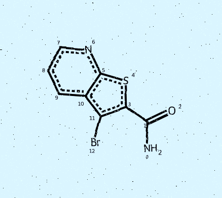 NC(=O)c1sc2ncccc2c1Br